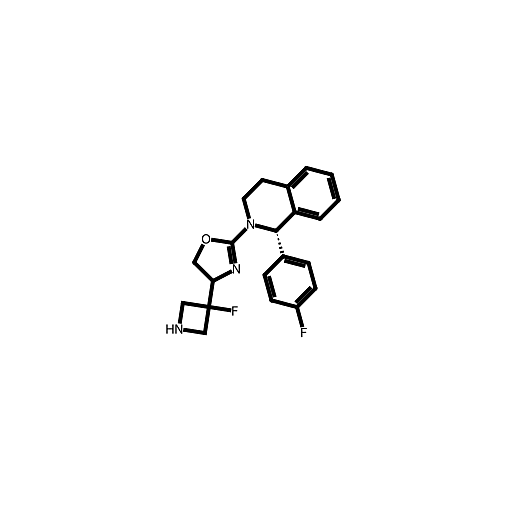 Fc1ccc([C@H]2c3ccccc3CCN2C2=NC(C3(F)CNC3)CO2)cc1